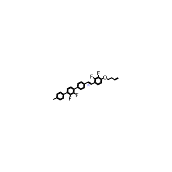 C=CCCOc1ccc(/C=C/c2ccc(-c3ccc(-c4ccc(C)cc4)c(F)c3F)cc2)c(F)c1F